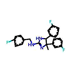 CC1(c2cccc(F)c2)N=C(NCc2ccc(F)cc2)NC1c1cccc(F)c1